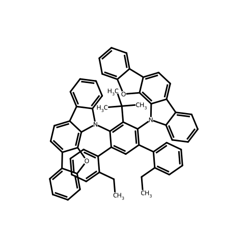 CCc1ccccc1-c1cc(-c2ccccc2CC)c(-n2c3ccccc3c3ccc4c5ccccc5oc4c32)c(C(C)(C)C)c1-n1c2ccccc2c2ccc3c4ccccc4oc3c21